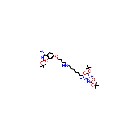 CN/C(=N/C(=O)OC(C)(C)C)c1ccc(OCCCCNCCCCCCCN/C(=N/C(=O)OC(C)(C)C)NC(=O)OC(C)(C)C)cc1